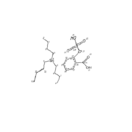 CCC[CH2][Sn]([CH2]CCC)[CH2]CCC.O=C(O)c1ccccc1OS(=O)(=O)O